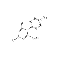 CCOC(=O)C1=CN(C)C=C(CC)C1c1ccc(C(F)(F)F)cc1